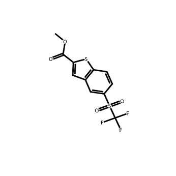 COC(=O)c1cc2cc(S(=O)(=O)C(F)(F)F)ccc2s1